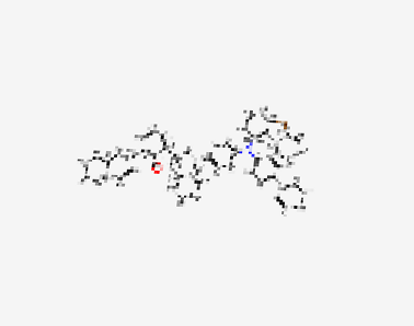 C1=CC(c2ccc(N(c3ccc(C4Cc5c(oc6c(-c7ccc8ccccc8c7)cccc56)-c5ccccc54)cc3)c3cccc4sc5ccccc5c34)cc2)=CCC1